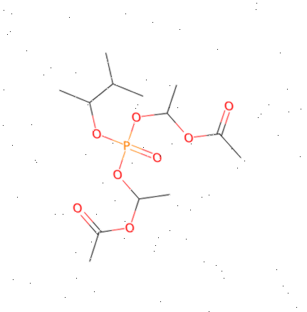 CC(=O)OC(C)OP(=O)(OC(C)OC(C)=O)OC(C)C(C)C